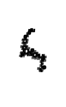 CCCCOCCOc1ccc(-c2ccc3c(c2)C=C(C(=O)Nc2ccc(SCc4nccn4CCCC(=O)N(C)C)cc2)CCN3CC(C)C)cc1